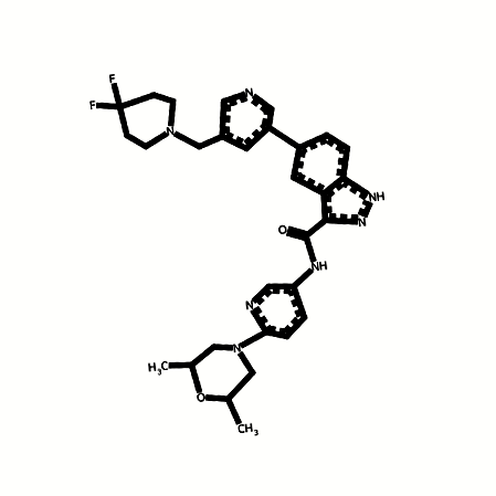 CC1CN(c2ccc(NC(=O)c3n[nH]c4ccc(-c5cncc(CN6CCC(F)(F)CC6)c5)cc34)cn2)CC(C)O1